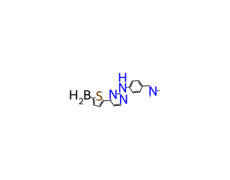 Bc1ccc(-c2ccnc(Nc3ccc(CN(C)C)cc3)n2)s1